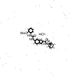 COc1ccccc1NC(=O)Nc1ccc2cc(C(=O)N[C@H]3CN4CCC3CC4)sc2c1.Cl